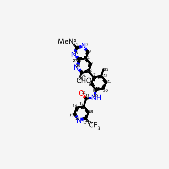 CNc1ncc2cc(-c3cc(NC(=O)c4ccnc(C(F)(F)F)c4)ccc3C)c(C=O)nc2n1